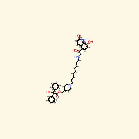 O=C(OCC1CCN(CCCCCCCCCNCC(O)c2ccc(O)c3[nH]c(=O)ccc23)CC1)C(O)(c1ccccc1)c1ccccc1